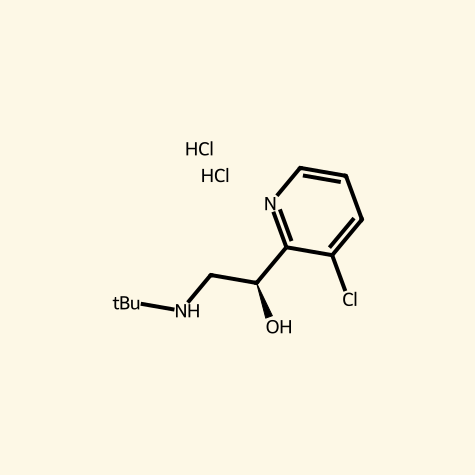 CC(C)(C)NC[C@H](O)c1ncccc1Cl.Cl.Cl